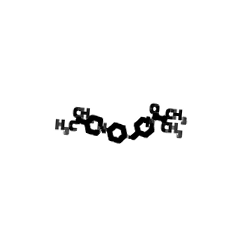 CC(C)C(=O)N1CCC(C[C@H]2CC[C@@H](N3CCC(C(C)C)CC3)CC2)CC1